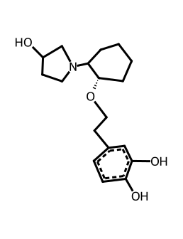 Oc1ccc(CCO[C@H]2CCCCC2N2CCC(O)C2)cc1O